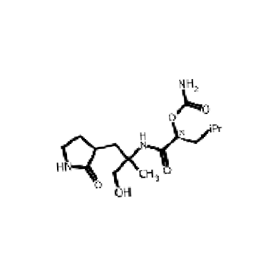 CC(C)C[C@H](OC(N)=O)C(=O)NC(C)(CO)CC1CCNC1=O